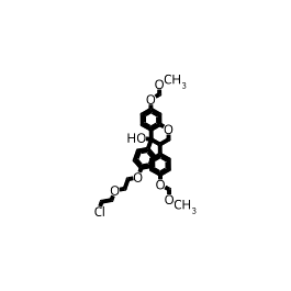 COCOc1ccc(C2COc3cc(OCOC)ccc3C2(O)c2ccc(OCCOCCCl)cc2)cc1